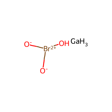 [GaH3].[O-][Br+2]([O-])O